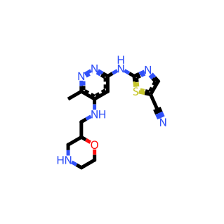 Cc1nnc(Nc2ncc(C#N)s2)cc1NCC1CNCCO1